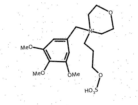 COc1cc(C[N+]2(CCCOS(=O)(=O)O)CCOCC2)cc(OC)c1OC